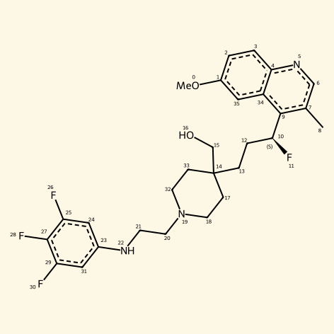 COc1ccc2ncc(C)c([C@@H](F)CCC3(CO)CCN(CCNc4cc(F)c(F)c(F)c4)CC3)c2c1